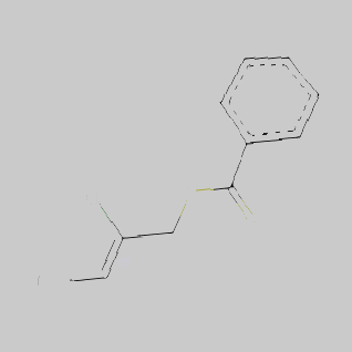 C/C=C(\Cl)CSC(=S)c1ccccc1